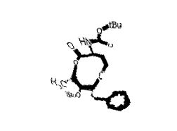 CC(C)CO[C@@H]1[C@@H](Cc2ccccc2)CCC[C@H](NC(=O)OC(C)(C)C)C(=O)O[C@H]1C